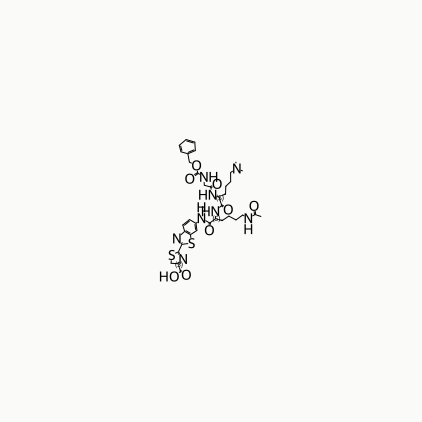 CC(=O)NCCCC[C@H](NC(=O)[C@H](CCCCN(C)C)NC(=O)CNC(=O)OCc1ccccc1)C(=O)Nc1ccc2nc(C3=N[C@@H](C(=O)O)CS3)sc2c1